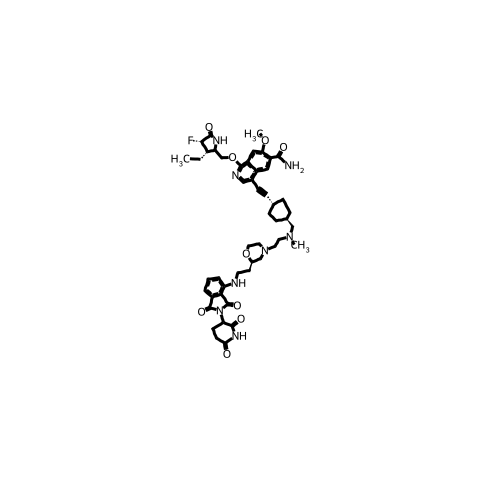 CC[C@H]1C(COc2ncc(C#C[C@H]3CC[C@H](CN(C)CCN4CCO[C@H](CCNc5cccc6c5C(=O)N(C5CCC(=O)NC5=O)C6=O)C4)CC3)c3cc(C(N)=O)c(OC)cc23)NC(=O)[C@H]1F